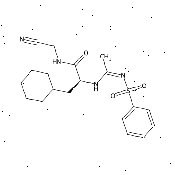 CC(=NS(=O)(=O)c1ccccc1)N[C@@H](CC1CCCCC1)C(=O)NCC#N